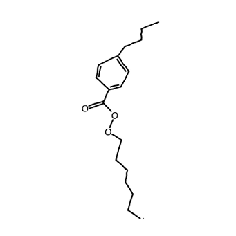 [CH2]CCCCCCOOC(=O)c1ccc(CCCC)cc1